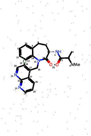 CNC(C)C(=O)N[C@H]1CCc2ccccc2N(Cc2c(Cl)cnc3ncccc23)C1=O